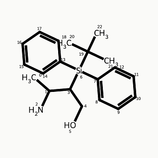 CC(N)C(CO)[Si](c1ccccc1)(c1ccccc1)C(C)(C)C